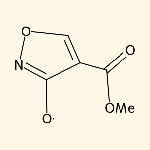 COC(=O)c1conc1[O]